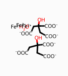 O.O=C([O-])CC(O)(CC(=O)[O-])C(=O)[O-].O=C([O-])CC(O)(CC(=O)[O-])C(=O)[O-].[Fe+2].[Fe+2].[Fe+2]